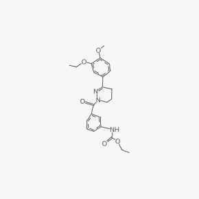 CCOC(=O)Nc1cccc(C(=O)N2CCCC(c3ccc(OC)c(OCC)c3)=N2)c1